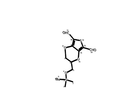 CC(C)(C)[Si](C)(C)OCC1COc2c(C=O)sc(C=O)c2O1